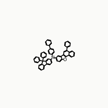 c1ccc(-c2ccc(N(c3ccc4c(c3)C(c3ccccc3)(c3ccccc3)c3ccccc3-4)c3ccc4oc5c6ccccc6c(-c6ccccc6)cc5c4c3)cc2)cc1